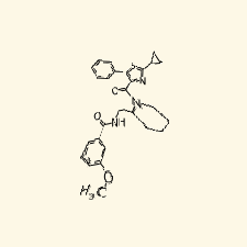 COc1cccc(C(=O)NCC2CCCCN2C(=O)c2nc(C3CC3)sc2-c2ccccc2)c1